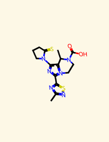 Cc1nsc(-c2nc(N3CCCC3=S)c3n2CCN(C(=O)O)C3C)n1